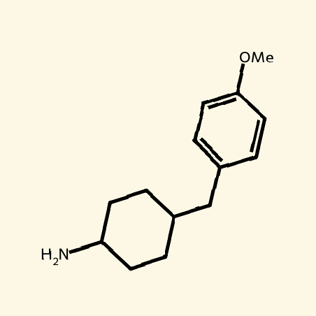 COc1ccc(CC2CCC(N)CC2)cc1